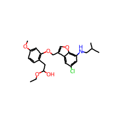 CCOC(O)Cc1ccc(OC)cc1OCc1coc2c(NCC(C)C)cc(Cl)cc12